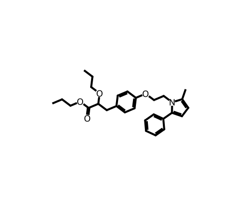 CCCOC(=O)C(Cc1ccc(OCCn2c(C)ccc2-c2ccccc2)cc1)OCCC